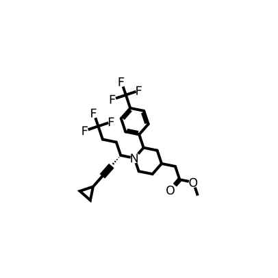 COC(=O)CC1CCN([C@H](C#CC2CC2)CCC(F)(F)F)C(c2ccc(C(F)(F)F)cc2)C1